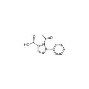 CC(=O)n1c(C(=O)O)ccc1-c1ccccc1